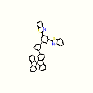 c1cc(-c2cc(-c3nc4ccccc4s3)cc(-c3nc4ccccc4s3)c2)cc(-c2ccc3c(c2)C2(c4ccccc4-c4ccccc42)c2ccccc2-3)c1